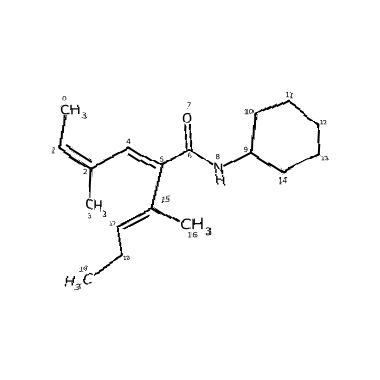 C\C=C(C)/C=C(C(=O)NC1CCCCC1)\C(C)=C\CC